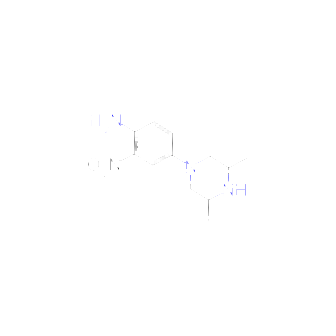 CC1CN(c2ccc(N)c([N+](=O)[O-])c2)CC(C)N1